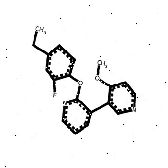 CCc1ccc(Oc2ncccc2-c2cnccc2OC)c(F)c1